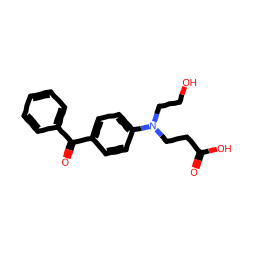 O=C(O)CCN(CCO)c1ccc(C(=O)c2ccccc2)cc1